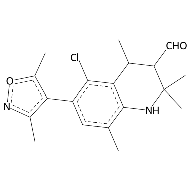 Cc1cc(-c2c(C)noc2C)c(Cl)c2c1NC(C)(C)C(C=O)C2C